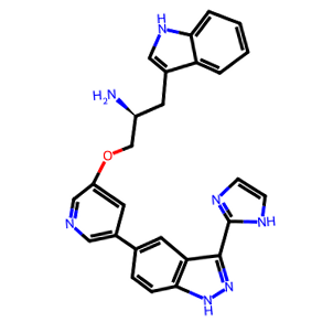 N[C@H](COc1cncc(-c2ccc3[nH]nc(-c4ncc[nH]4)c3c2)c1)Cc1c[nH]c2ccccc12